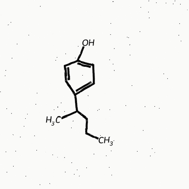 CCCC(C)c1ccc(O)cc1